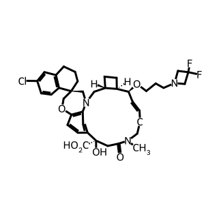 CN1CC/C=C/[C@H](OCCCN2CC(F)(F)C2)[C@@H]2CC[C@H]2CN2C[C@@]3(CCCc4cc(Cl)ccc43)COc3ccc(cc32)[C@@](O)(C(=O)O)CC1=O